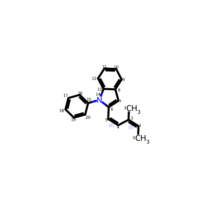 C/C=C(C)\C=C/c1cc2ccccc2n1-c1ccccc1